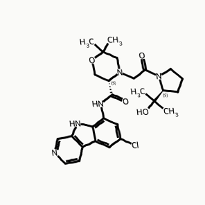 CC1(C)CN(CC(=O)N2CCC[C@H]2C(C)(C)O)[C@H](C(=O)Nc2cc(Cl)cc3c2[nH]c2cnccc23)CO1